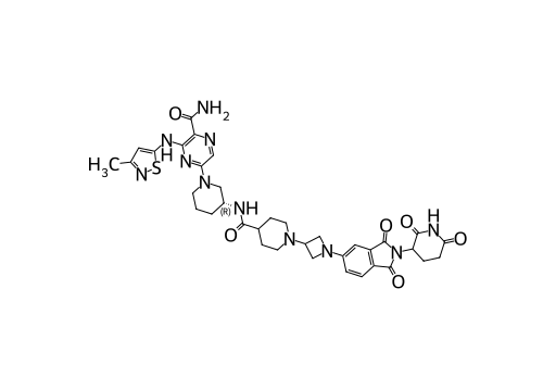 Cc1cc(Nc2nc(N3CCC[C@@H](NC(=O)C4CCN(C5CN(c6ccc7c(c6)C(=O)N(C6CCC(=O)NC6=O)C7=O)C5)CC4)C3)cnc2C(N)=O)sn1